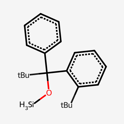 CC(C)(C)c1ccccc1C(O[SiH3])(c1ccccc1)C(C)(C)C